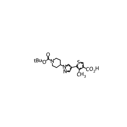 Cc1c(C(=O)O)csc1-c1cnn(C2CCN(C(=O)OC(C)(C)C)CC2)c1